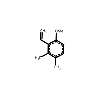 C=Cc1c(OC)ccc(C)c1C